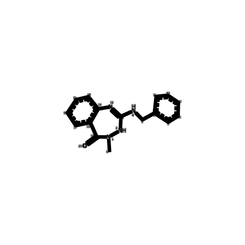 CN1NC(NCc2ccccc2)=Nc2ccccc2C1=O